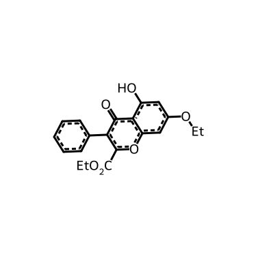 CCOC(=O)c1oc2cc(OCC)cc(O)c2c(=O)c1-c1ccccc1